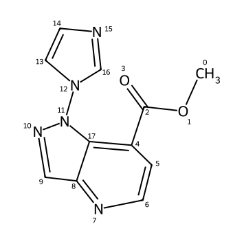 COC(=O)c1ccnc2cnn(-n3ccnc3)c12